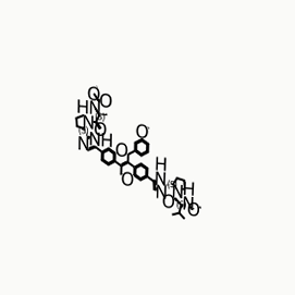 CON[C@H](C(=O)N1CCC[C@H]1c1ncc(-c2ccc3c(c2)OCC2=C3C(c3cccc(OC)c3)Oc3cc(-c4cnc([C@@H]5CCCN5C(=O)[C@H](C)NC(=O)OC)[nH]4)ccc32)[nH]1)C(C)C